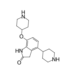 O=C1Cc2c(C3CCNCC3)ccc(OC3CCNCC3)c2N1